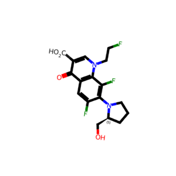 O=C(O)c1cn(CCF)c2c(F)c(N3CCC[C@H]3CO)c(F)cc2c1=O